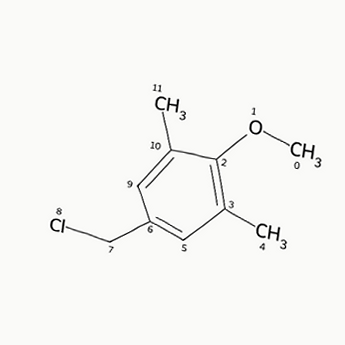 COc1c(C)cc(CCl)cc1C